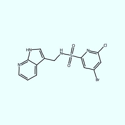 O=S(=O)(NCc1c[nH]c2ncccc12)c1cc(Br)cc(Cl)n1